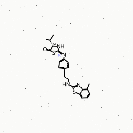 Cc1cccc2sc(NCCc3ccc(/N=C4/N[C@@H](C(C)C)C(=O)S4)cc3)nc12